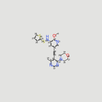 COc1ncc(C#Cc2c(C)ncnc2N2CCOCC2)cc1NSc1cccs1